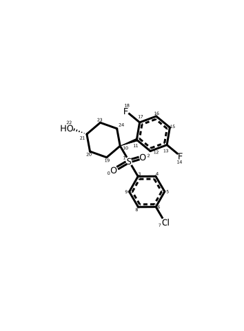 O=S(=O)(c1ccc(Cl)cc1)[C@]1(c2cc(F)ccc2F)CC[C@H](O)CC1